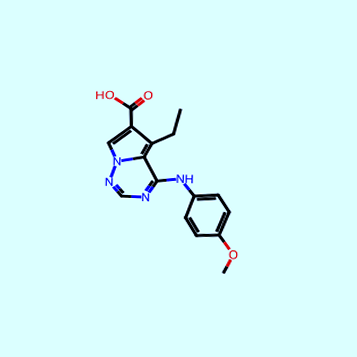 CCc1c(C(=O)O)cn2ncnc(Nc3ccc(OC)cc3)c12